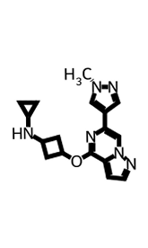 Cn1cc(-c2cn3nccc3c(OC3CC(NC4CC4)C3)n2)cn1